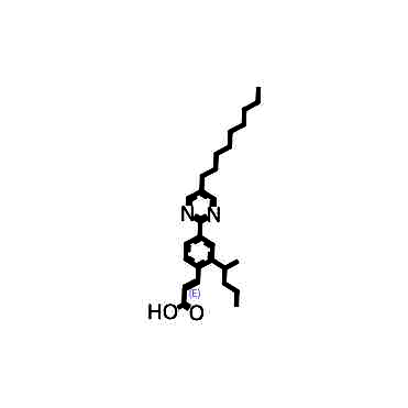 CCCCCCCCCc1cnc(-c2ccc(/C=C/C(=O)O)c(C(C)CCC)c2)nc1